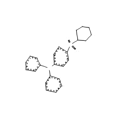 O=S(=O)(c1ccc([S+](c2ccccc2)c2ccccc2)cc1)C1CCCCC1